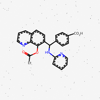 CCC(=O)Oc1c(C(Nc2ccccn2)c2ccc(C(=O)O)cc2)ccc2cccnc12